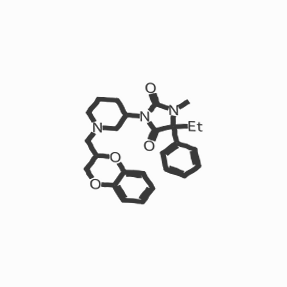 CCC1(c2ccccc2)C(=O)N(C2CCCN(CC3COc4ccccc4O3)C2)C(=O)N1C